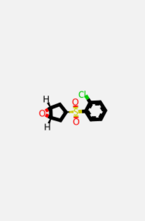 O=S(=O)(c1ccccc1Cl)[C@H]1C[C@@H]2O[C@@H]2C1